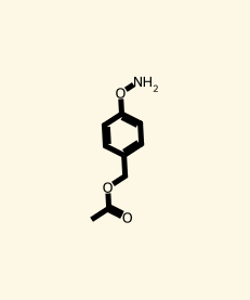 CC(=O)OCc1ccc(ON)cc1